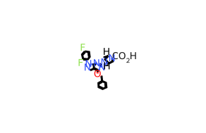 O=C(O)N1C[C@H]2C[C@@H]1CN2c1nc(OCc2ccccc2)c2cnn(-c3ccc(F)cc3F)c2n1